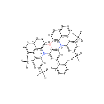 Cc1cccc(C)c1-c1cc2c3c(c1)N(c1cc(C(C)(C)C)cc(C(C)(C)C)c1)c1c(ccc4ccccc14)B3c1ccc3ccccc3c1N2c1cc(C(C)(C)C)cc(C(C)(C)C)c1